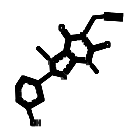 C#CCn1c(=O)c2c(nc(-c3cccc(O)c3)n2C)n(C)c1=O